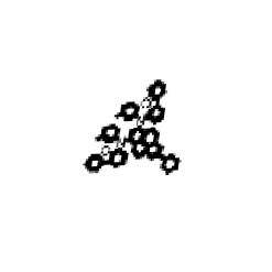 Cc1cccc(N(c2cc(N(c3cccc(C)c3)c3cccc4c3oc3ccccc34)c3ccc4cc(C5CCCCC5)cc5ccc2c3c54)c2cccc3c2oc2ccccc23)c1